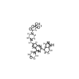 CS(=O)(=O)CC(=O)N1CCN(Cc2cc3nc(-c4cccc5[nH]ncc45)nc(N4CCOCC4)c3s2)CC1